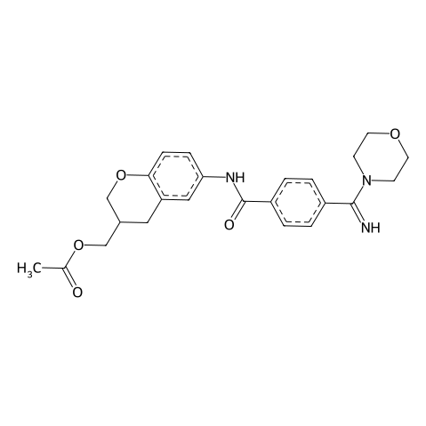 CC(=O)OCC1COc2ccc(NC(=O)c3ccc(C(=N)N4CCOCC4)cc3)cc2C1